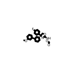 COc1cccc(-c2cccc([C@@]3(c4ccc(F)cc4)COC(NOC=O)=N3)c2)c1